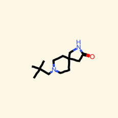 CC(C)(C)CN1CCC2(CC1)CNC(=O)C2